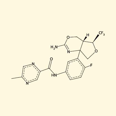 Cc1cnc(C(=O)Nc2ccc(F)c(C34CO[C@H](C(F)(F)F)[C@H]3COC(N)=N4)c2)cn1